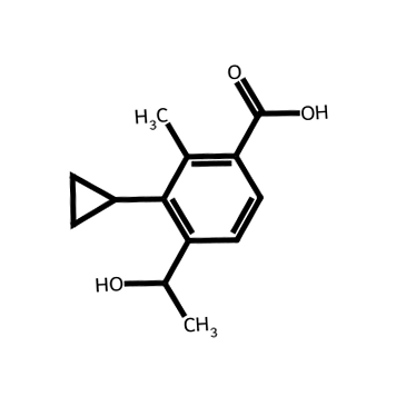 Cc1c(C(=O)O)ccc(C(C)O)c1C1CC1